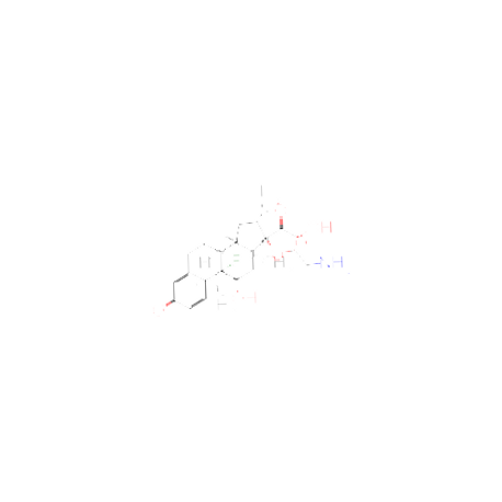 C[C@@H]1C[C@H]2[C@@H]3CCC4=CC(=O)C=C[C@]4(C)[C@@]3(F)[C@@H](O)C[C@]2(C)[C@@]1(OC(=O)CN)C(=O)CO